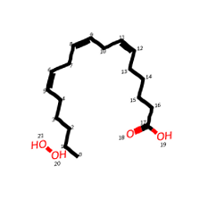 CCCCC/C=C\C/C=C\C/C=C\CCCCC(=O)O.OO